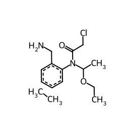 CC.CCOC(C)N(C(=O)CCl)c1ccccc1CN